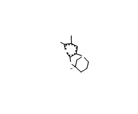 Cc1cc2c(nc1Cl)N[C@H]1CCCN2C1